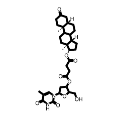 Cc1cn(C2CC(OC(=O)CCC(=O)O[C@H]3CC[C@H]4C5CC[C@H]6CC(=O)CC[C@]6(C)C5CC[C@]34C)C(CO)O2)c(=O)[nH]c1=O